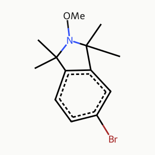 CON1C(C)(C)c2ccc(Br)cc2C1(C)C